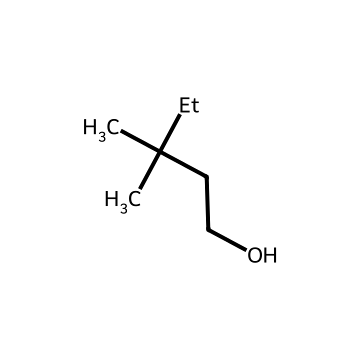 [CH2]CC(C)(C)CCO